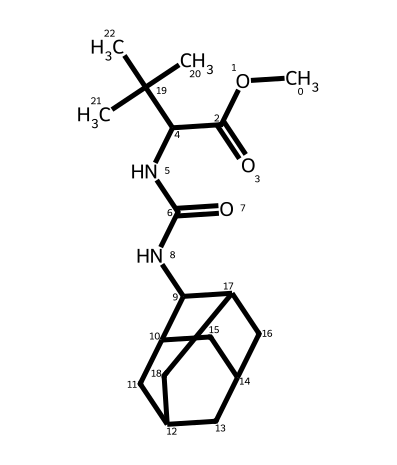 COC(=O)C(NC(=O)NC1C2CC3CC(C2)CC1C3)C(C)(C)C